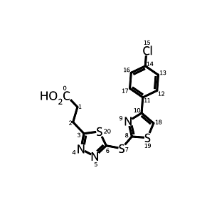 O=C(O)CCc1nnc(Sc2nc(-c3ccc(Cl)cc3)cs2)s1